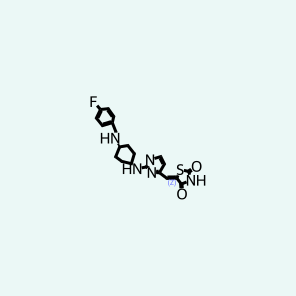 O=C1NC(=O)/C(=C/c2ccnc(N[C@H]3CC[C@H](NCc4ccc(F)cc4)CC3)n2)S1